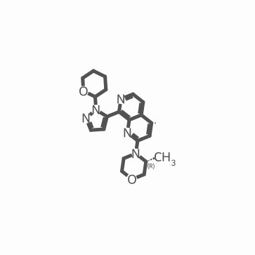 C[C@@H]1COCCN1c1c[c]c2ccnc(-c3ccnn3C3CCCCO3)c2n1